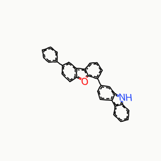 c1ccc(-c2ccc3oc4c(-c5ccc6c(c5)[nH]c5ccccc56)cccc4c3c2)cc1